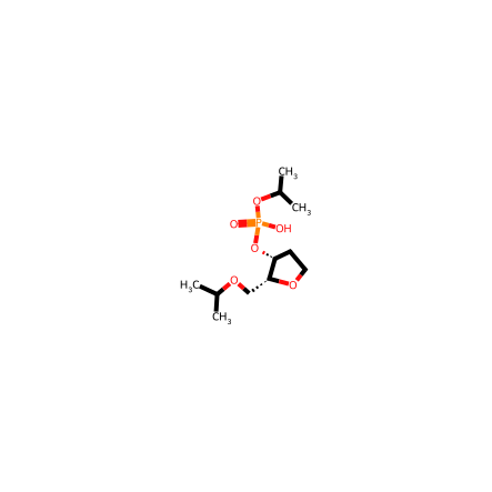 CC(C)OC[C@H]1OCC[C@H]1OP(=O)(O)OC(C)C